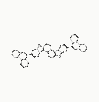 c1ccc2c(c1)cc(-c1ccc3c(c1)oc1ccc4c(ccc5oc6cc(-c7cc8ccccc8c8ccccc78)ccc6c54)c13)c1ccccc12